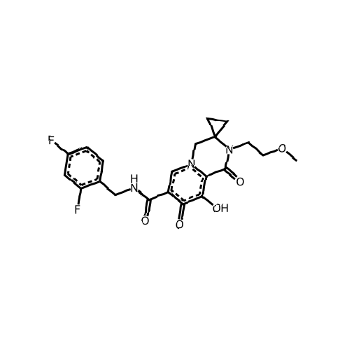 COCCN1C(=O)c2c(O)c(=O)c(C(=O)NCc3ccc(F)cc3F)cn2CC12CC2